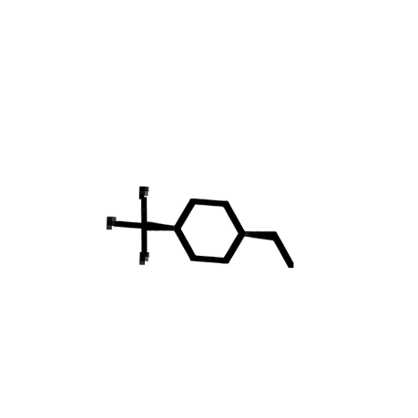 CC[C@H]1CC[C@@H](C(F)(F)F)CC1